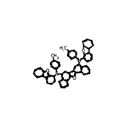 Cc1ccc(N(c2cccc3c2OC2C=CC=CC32)c2cc3c4cc(N(c5ccc(C)cc5)c5cccc6c5oc5ccccc56)c5ccccc5c4oc3c3ccccc23)cc1